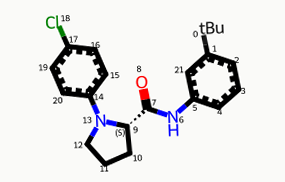 CC(C)(C)c1cccc(NC(=O)[C@@H]2CCCN2c2ccc(Cl)cc2)c1